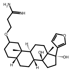 C[C@]12CC(OCCC(=N)N)CC[C@H]1CC[C@@H]1[C@@H]2CC[C@]2(C)[C@@](O)(c3ccoc3)CC[C@]12O